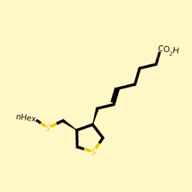 CCCCCCSC[C@@H]1CSC[C@@H]1CC=CCCCC(=O)O